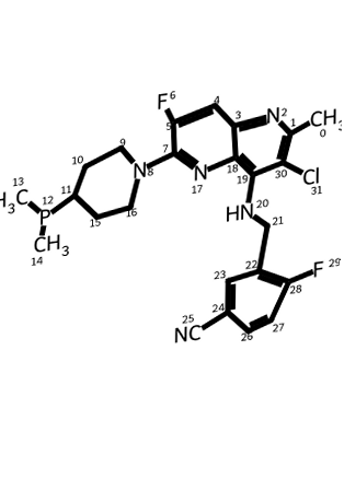 Cc1nc2cc(F)c(N3CCC(P(C)C)CC3)nc2c(NCc2cc(C#N)ccc2F)c1Cl